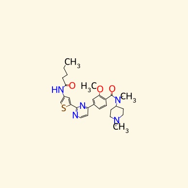 CCCCC(=O)Nc1csc(-c2nccc(-c3ccc(C(=O)N(C)C4CCN(C)CC4)c(OC)c3)n2)c1